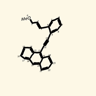 COC/C=C/c1ccccc1C#Cc1c2ccccc2cc2ccccc12